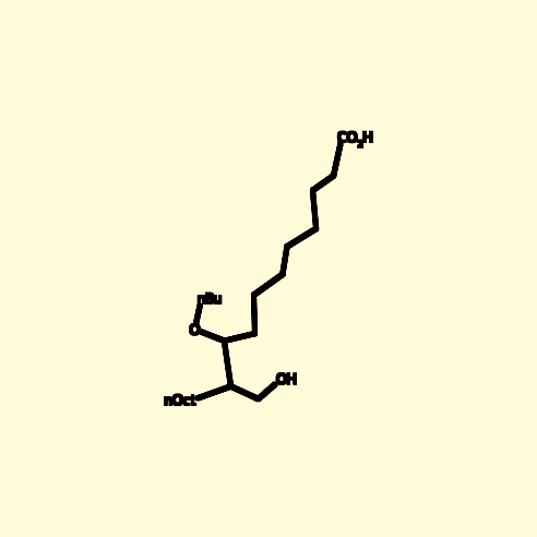 CCCCCCCCC(CO)C(CCCCCCCC(=O)O)OCCCC